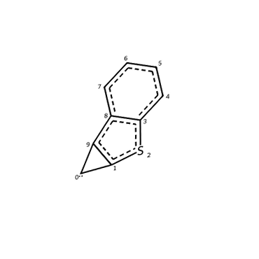 [C]1c2sc3ccccc3c21